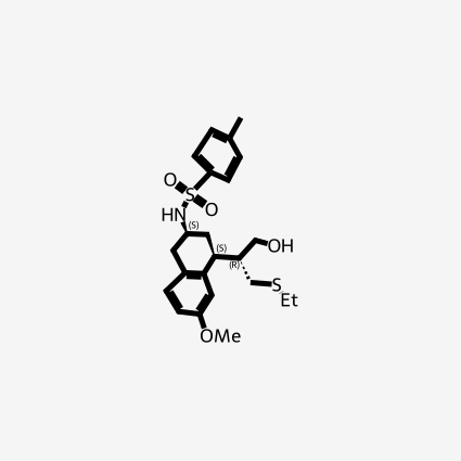 CCSC[C@@H](CO)[C@@H]1C[C@H](NS(=O)(=O)c2ccc(C)cc2)Cc2ccc(OC)cc21